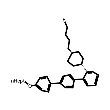 CCCCCCCOc1ccc(-c2ccc(-c3ccccc3[C@H]3CC[C@H](CCCCF)CC3)cc2)cc1